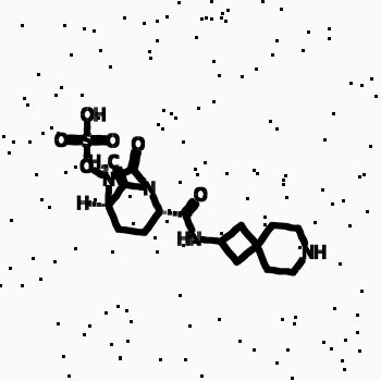 C=C1[C@H]2CC[C@@H](C(=O)NC3CC4(CCNCC4)C3)N1C(=O)N2OS(=O)(=O)O